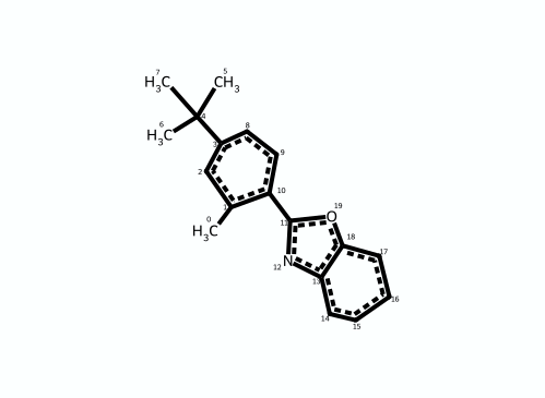 Cc1cc(C(C)(C)C)ccc1-c1nc2ccccc2o1